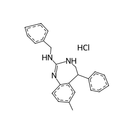 Cc1ccc2c(c1)C(c1ccccc1)CNC(NCc1ccccc1)=N2.Cl